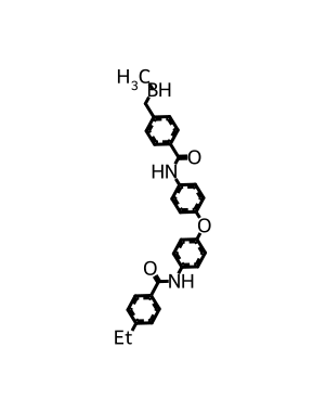 CBCc1ccc(C(=O)Nc2ccc(Oc3ccc(NC(=O)c4ccc(CC)cc4)cc3)cc2)cc1